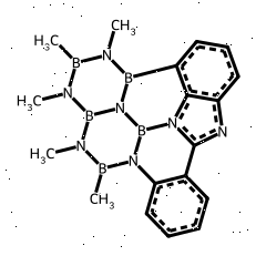 CB1N(C)B2c3cccc4nc5n(c34)B3N2B(N1C)N(C)B(C)N3c1ccccc1-5